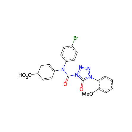 COc1ccccc1-n1nnn(C(=O)N(C2=CCC(C(=O)O)C=C2)c2ccc(Br)cc2)c1=O